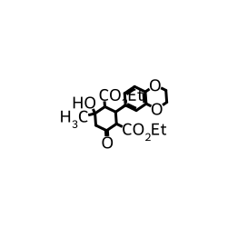 CCOC(=O)C1C(=O)CC(C)(O)C(C(=O)OCC)C1c1ccc2c(c1)OCCO2